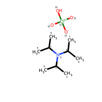 CC(C)N(C(C)C)C(C)C.[O-][Cl+3]([O-])([O-])O